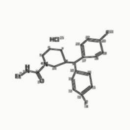 CCNC(=O)N1CCCC(C(c2ccc(F)cc2)c2ccc(F)cc2)C1.Cl